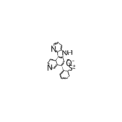 C[S+]([O-])c1ccccc1-c1cc2[nH]c3cccnc3c2c2ccncc12